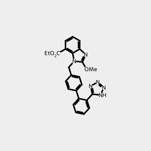 CCOC(=O)c1cccc2nc(OC)n(Cc3ccc(-c4ccccc4-c4nnn[nH]4)cc3)c12